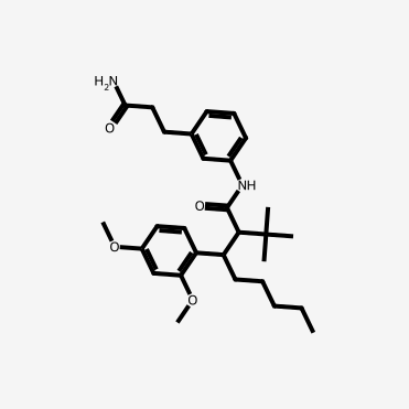 CCCCCC(c1ccc(OC)cc1OC)C(C(=O)Nc1cccc(CCC(N)=O)c1)C(C)(C)C